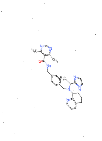 Cc1ncnc(C)c1C(=O)NCc1ccc(CN(C(C)c2ncc[nH]2)C2CCCc3cccnc32)cc1